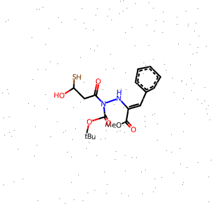 COC(=O)C(=Cc1ccccc1)NN(C(=O)CC(O)S)C(=O)OC(C)(C)C